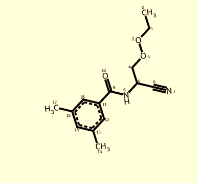 CCOOCC(C#N)NC(=O)c1cc(C)cc(C)c1